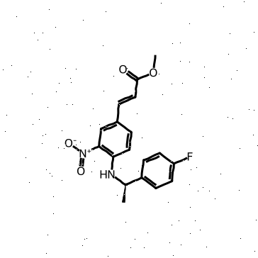 COC(=O)/C=C/c1ccc(N[C@H](C)c2ccc(F)cc2)c([N+](=O)[O-])c1